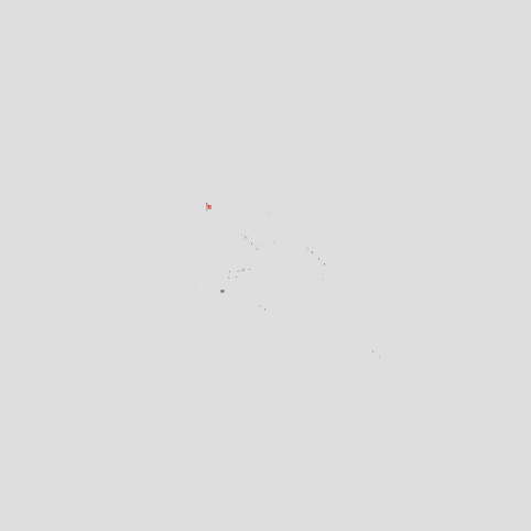 N#Cc1cc(C#N)cc(C2=CC=CC3c4cccc(-c5cc(C#N)cc(C#N)c5)c4N(c4cccc5c4C(=O)N(c4c(-c6ccccc6)cc(-c6ccccc6)cc4-c4ccccc4)C5=O)C23)c1